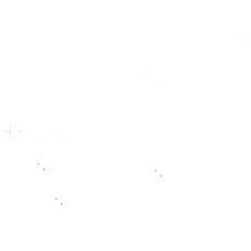 CC(=O)Nc1cc(-c2cncc(C=CC(=O)c3ccc(F)cc3)c2)ccn1